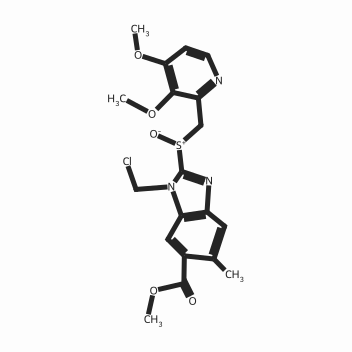 COC(=O)c1cc2c(cc1C)nc([S+]([O-])Cc1nccc(OC)c1OC)n2CCl